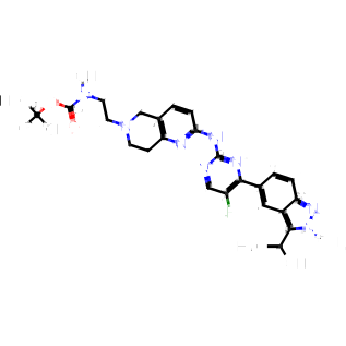 CC(C)c1c2cc(-c3nc(Nc4ccc5c(n4)CCN(CCN(C)C(=O)OC(C)(C)C)C5)ncc3F)ccc2nn1C